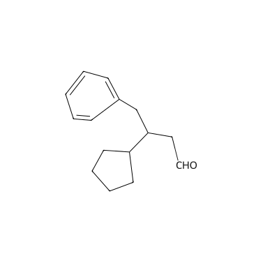 O=CCC(Cc1ccccc1)C1CCCC1